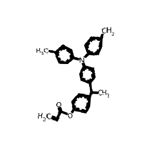 C=CC(=O)Oc1ccc(C(C)c2ccc(N(c3ccc(C)cc3)c3ccc(C)cc3)cc2)cc1